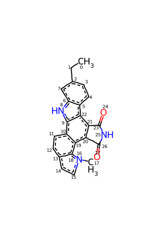 CCc1ccc2c(c1)[nH]c1c3ccc4ccn(C)c4c3c3c(c21)C(=O)NC3=O